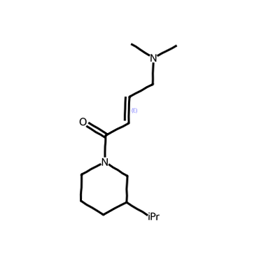 CC(C)C1CCCN(C(=O)/C=C/CN(C)C)C1